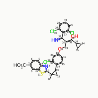 CC1(c2nc3ccc(C(=O)O)cc3s2)CC1c1ccc(OC/C(C(=N)c2c(Cl)cccc2Cl)=C(/O)C2CC2)cc1Cl